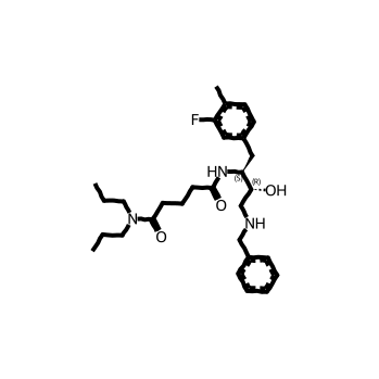 CCCN(CCC)C(=O)CCCC(=O)N[C@@H](Cc1ccc(C)c(F)c1)[C@H](O)CNCc1ccccc1